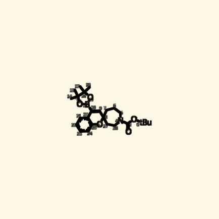 CC(C)(C)OC(=O)N1CCCC2(C=C(B3OC(C)(C)C(C)(C)O3)c3ccccc3O2)CC1